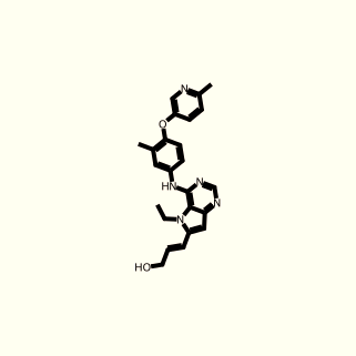 CCn1c(/C=C/CO)cc2ncnc(Nc3ccc(Oc4ccc(C)nc4)c(C)c3)c21